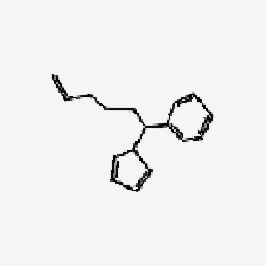 C=CCCCC(c1ccccc1)C1C=CC=C1